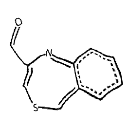 O=CC1=CSC=c2ccccc2=N1